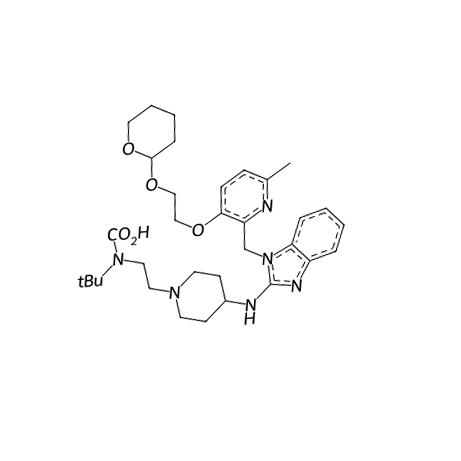 Cc1ccc(OCCOC2CCCCO2)c(Cn2c(NC3CCN(CCN(C(=O)O)C(C)(C)C)CC3)nc3ccccc32)n1